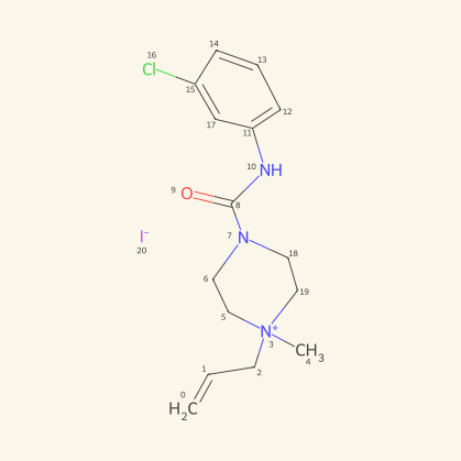 C=CC[N+]1(C)CCN(C(=O)Nc2cccc(Cl)c2)CC1.[I-]